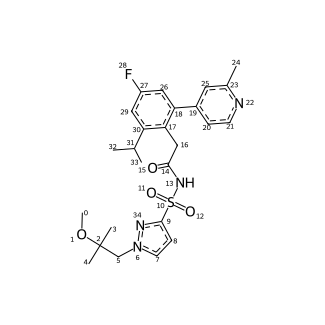 COC(C)(C)Cn1ccc(S(=O)(=O)NC(=O)Cc2c(-c3ccnc(C)c3)cc(F)cc2C(C)C)n1